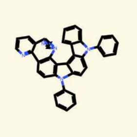 c1ccc(-n2c3ccccc3c3c4c5c(ccc6c7ncccc7c7nccn7c65)n(-c5ccccc5)c4ccc32)cc1